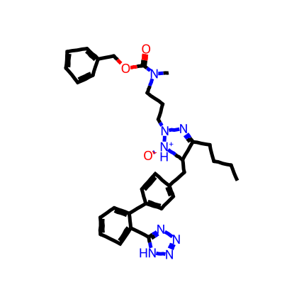 CCCCC1=NN(CCCN(C)C(=O)OCc2ccccc2)[NH+]([O-])C1Cc1ccc(-c2ccccc2-c2nnn[nH]2)cc1